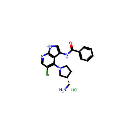 Cl.NC[C@H]1CCN(c2c(Br)cnc3[nH]cc(NC(=O)c4ccccc4)c23)C1